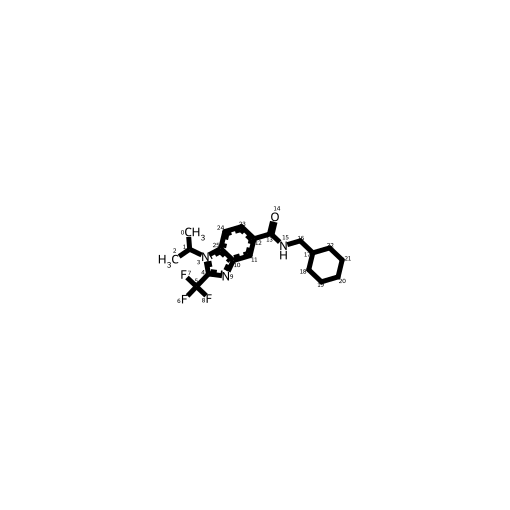 CC(C)n1c(C(F)(F)F)nc2cc(C(=O)NCC3CCCCC3)ccc21